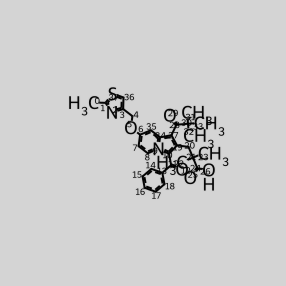 Cc1nc(COc2ccn3c(C(=O)c4ccccc4)c(CC(C)(C)C(=O)O)c(C(=O)C(C)(C)C)c3c2)cs1